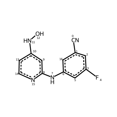 N#Cc1cc(F)cc(Nc2cc(NO)ccn2)c1